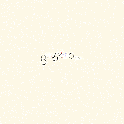 COc1ccc(CNC(=O)C2(CO)CCc3c(OCC4(C(=O)O)CCc5ccccc54)cccc32)cc1